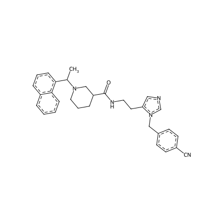 CC(c1cccc2ccccc12)N1CCCC(C(=O)NCCc2cncn2Cc2ccc(C#N)cc2)C1